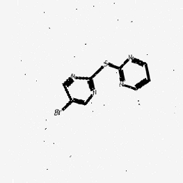 Brc1cnc(Sc2ncccn2)nc1